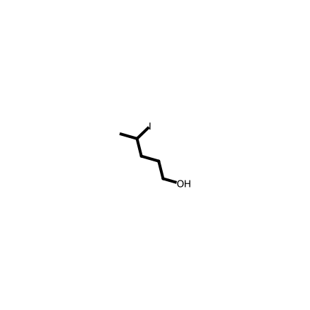 CC(I)CCCO